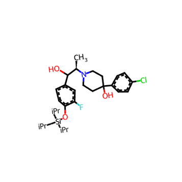 CC(C)[Si](Oc1ccc(C(O)[C@@H](C)N2CCC(O)(c3ccc(Cl)cc3)CC2)cc1F)(C(C)C)C(C)C